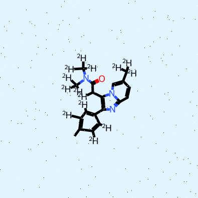 [2H]c1c([2H])c(-c2nc3ccc(C([2H])([2H])[2H])cn3c2C([2H])C(=O)N(C([2H])([2H])[2H])C([2H])([2H])[2H])c([2H])c([2H])c1C